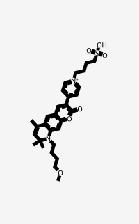 COCCCCN1c2cc3oc(=O)c(-c4cc[n+](CCCCS(=O)(=O)O)cc4)cc3cc2C(C)=CC1(C)C